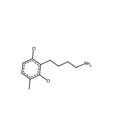 Cc1ccc(Cl)c(CCCCN)c1Cl